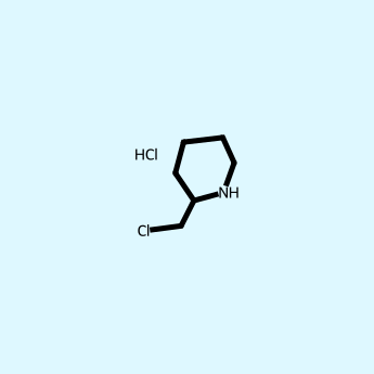 Cl.ClCC1CCCCN1